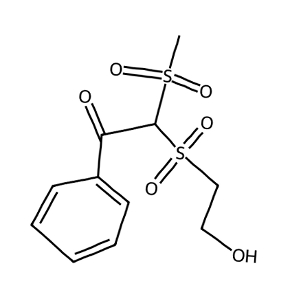 CS(=O)(=O)C(C(=O)c1ccccc1)S(=O)(=O)CCO